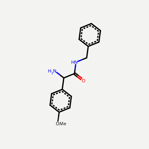 COc1ccc(C(N)C(=O)NCc2ccccc2)cc1